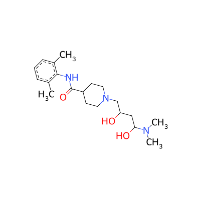 Cc1cccc(C)c1NC(=O)C1CCN(CC(O)CC(O)N(C)C)CC1